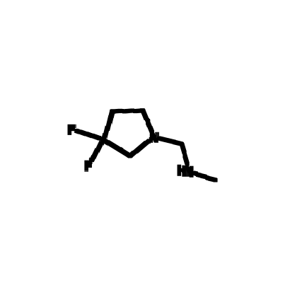 CNCN1CCC(F)(F)C1